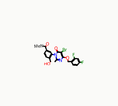 CNC(=O)c1ccc(CO)c(-n2c(C)nc(OCc3ccc(F)cc3F)c(Br)c2=O)c1